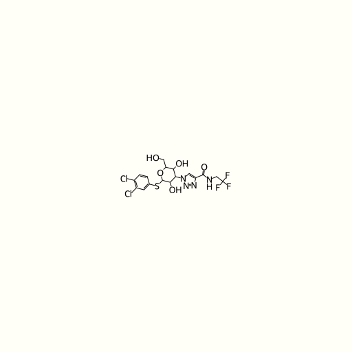 O=C(NCC(F)(F)F)c1cn(C2C(O)C(CO)OC(Sc3ccc(Cl)c(Cl)c3)C2O)nn1